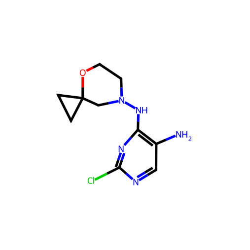 Nc1cnc(Cl)nc1NN1CCOC2(CC2)C1